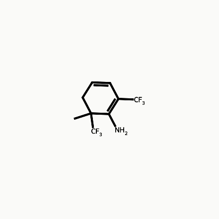 CC1(C(F)(F)F)CC=CC(C(F)(F)F)=C1N